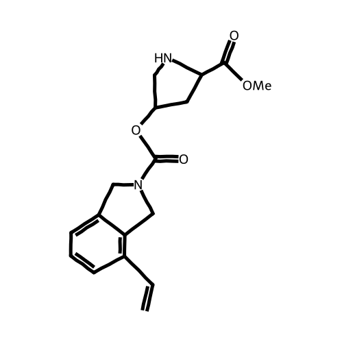 C=Cc1cccc2c1CN(C(=O)OC1CNC(C(=O)OC)C1)C2